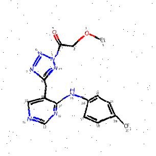 CCOCC(=O)n1nnc(-c2cncnc2Nc2ccc(C(F)(F)F)cc2)n1